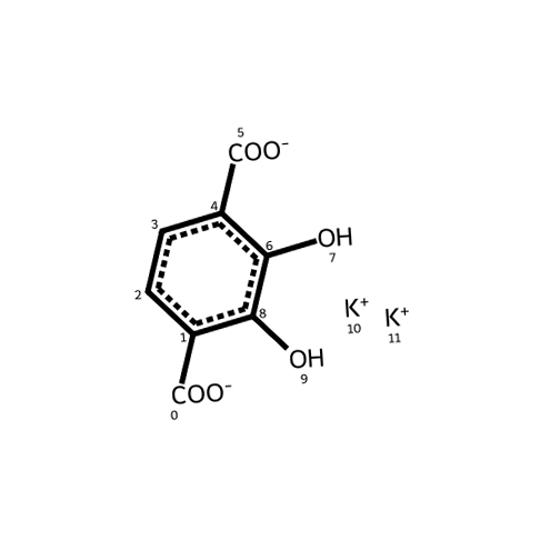 O=C([O-])c1ccc(C(=O)[O-])c(O)c1O.[K+].[K+]